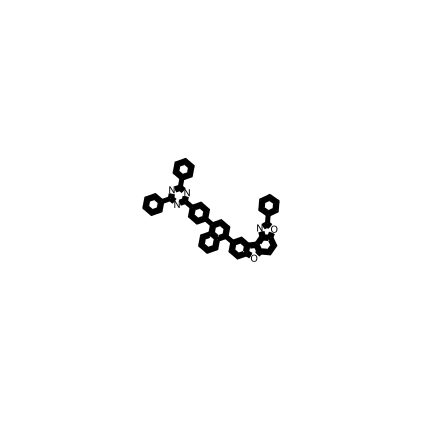 c1ccc(-c2nc(-c3ccccc3)nc(-c3ccc(-c4ccc(-c5ccc6oc7ccc8oc(-c9ccccc9)nc8c7c6c5)c5ccccc45)cc3)n2)cc1